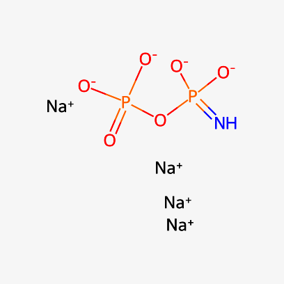 N=P([O-])([O-])OP(=O)([O-])[O-].[Na+].[Na+].[Na+].[Na+]